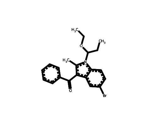 CCOC(CC)n1c(C)c(C(=O)c2ccccc2)c2cc(Br)ccc21